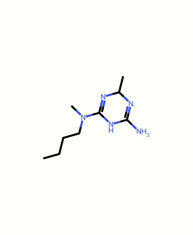 CCCCN(C)C1=NC(C)N=C(N)N1